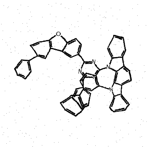 c1ccc(-c2cccc(-n3c4ccccc4c4ccc5c6ccccc6n(-c6nc(-c7ccccc7)nc(-c7ccc8oc9ccc(-c%10ccccc%10)cc9c8c7)n6)c5c43)c2)cc1